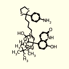 CC(C)(C)[C@@](CN(CCCCC1(c2ccc(N)cc2)SCCS1)C(=O)O)(O[Si](C)(C)C(C)(C)C)c1ccc(O)c2[nH]c(=O)ccc12